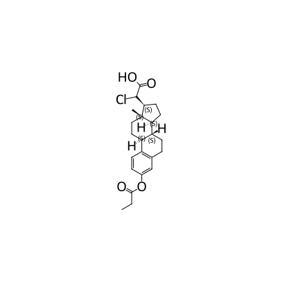 CCC(=O)Oc1ccc2c(c1)CC[C@@H]1[C@@H]2CC[C@]2(C)[C@@H](C(Cl)C(=O)O)CC[C@@H]12